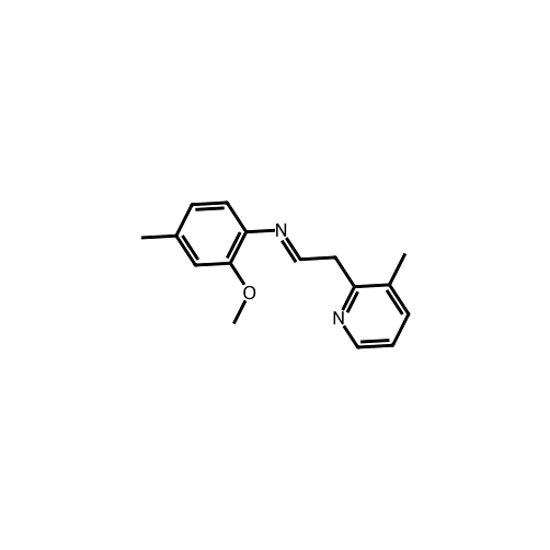 COc1cc(C)ccc1N=CCc1ncccc1C